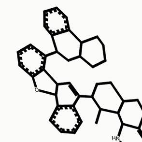 CC1C(C2=CC3c4c(cccc4C4CC5CCCCC5c5ccccc54)OC3c3ccccc32)CCC2CCC3=CC=CNC3C21